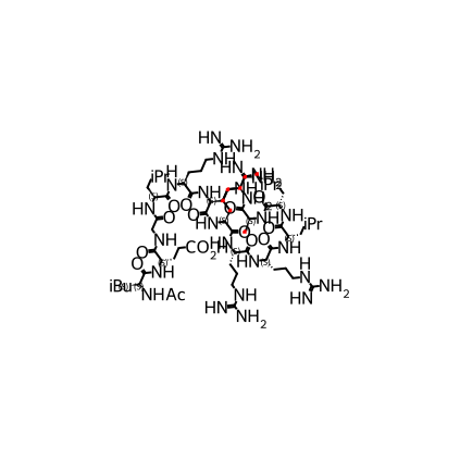 CC[C@H](C)[C@H](NC(C)=O)C(=O)N[C@@H](CCC(=O)O)C(=O)NCC(=O)N[C@@H](CC(C)C)C(=O)N[C@@H](CCCNC(=N)N)C(=O)N[C@@H](CCCCN)C(=O)N[C@@H](CCCNC(=N)N)C(=O)N[C@@H](CCCNC(=N)N)C(=O)N[C@@H](CCCNC(=N)N)C(=O)N[C@@H](CC(C)C)C(=O)N[C@@H](CC(C)C)C(=O)N[C@@H](C)C(N)=O